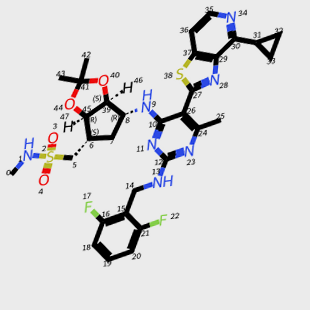 CNS(=O)(=O)C[C@H]1C[C@@H](Nc2nc(NCc3c(F)cccc3F)nc(C)c2-c2nc3c(C4CC4)nccc3s2)[C@@H]2OC(C)(C)O[C@H]12